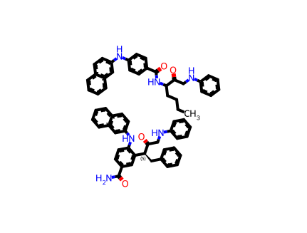 CCCCC(NC(=O)c1ccc(Nc2ccc3ccccc3c2)cc1)C(=O)CNc1ccccc1.NC(=O)c1ccc(Nc2ccc3ccccc3c2)c([C@H](Cc2ccccc2)C(=O)CNc2ccccc2)c1